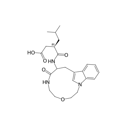 CC(C)C[C@H](CC(=O)O)C(=O)NC1Cc2cn(c3ccccc23)CCOCCNC1=O